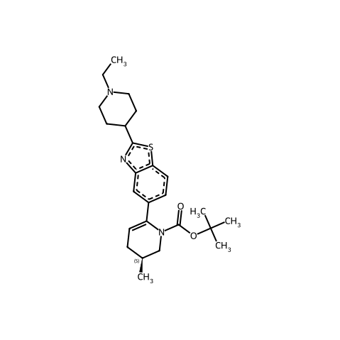 CCN1CCC(c2nc3cc(C4=CC[C@H](C)CN4C(=O)OC(C)(C)C)ccc3s2)CC1